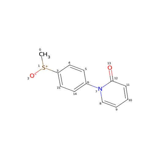 C[S+]([O-])c1ccc(-n2ccccc2=O)cc1